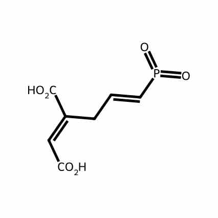 O=C(O)C=C(CC=CP(=O)=O)C(=O)O